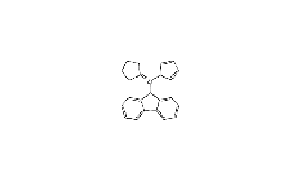 C1=C[CH]([Zr](=[C]2CCCC2)[CH]2c3ccccc3-c3ccccc32)C=C1